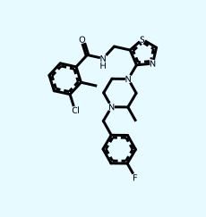 Cc1c(Cl)cccc1C(=O)NCc1scnc1N1CCN(Cc2ccc(F)cc2)C(C)C1